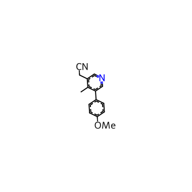 COc1ccc(-c2cncc(CC#N)c2C)cc1